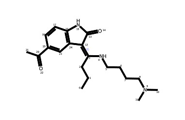 CCC/C(NCCCCN(C)C)=C1/C(=O)Nc2ccc(C(C)=O)cc21